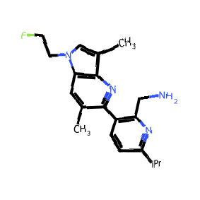 Cc1cc2c(nc1-c1ccc(C(C)C)nc1CN)c(C)cn2CCF